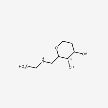 O=C(O)CNCC1OCCC(O)[C@@H]1O